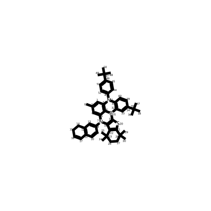 Cc1cc2c3c(c1)N(c1ccc4c(c1)CCC=C4)c1c(sc4c1C(C)(C)CCC4(C)C)B3c1cc(C(C)(C)C)ccc1N2c1ccc(C(C)(C)C)cc1